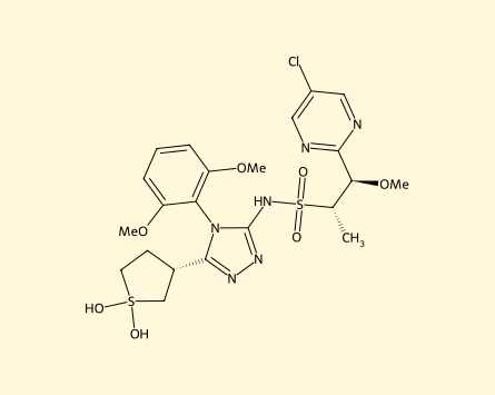 COc1cccc(OC)c1-n1c(NS(=O)(=O)[C@@H](C)[C@H](OC)c2ncc(Cl)cn2)nnc1[C@H]1CCS(O)(O)C1